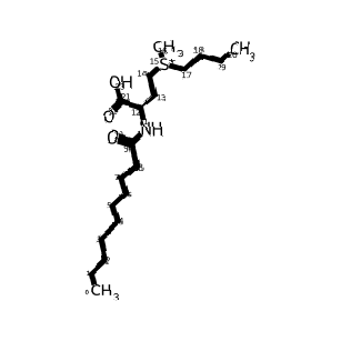 CCCCCCCCCC(=O)N[C@H](CC[S+](C)CCCC)C(=O)O